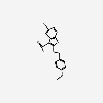 COc1ccc(CCc2oc3ccc(Br)cc3c2C(=O)O)cc1